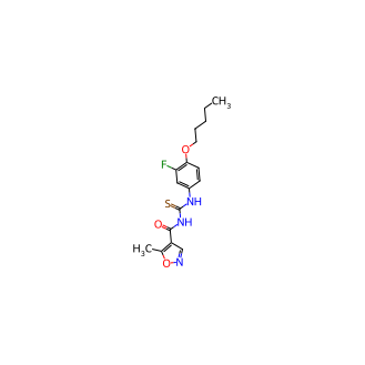 CCCCCOc1ccc(NC(=S)NC(=O)c2cnoc2C)cc1F